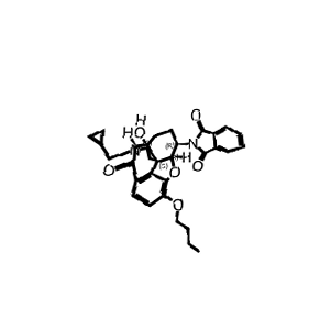 CCCCOc1ccc2c3c1O[C@H]1[C@H](N4C(=O)c5ccccc5C4=O)CC[C@@]4(O)[C@@H](C2=O)N(CC2CC2)CC[C@]314